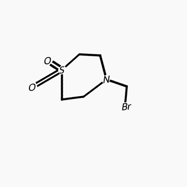 O=S1(=O)CCN(CBr)CC1